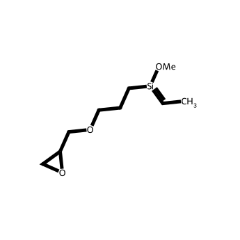 CC=[Si](CCCOCC1CO1)OC